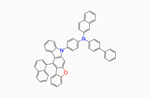 c1ccc(-c2ccc(N(c3ccc(-n4c5ccccc5c5c(-c6cccc7ccccc67)c6c(cc54)oc4ccccc46)cc3)c3ccc4ccccc4c3)cc2)cc1